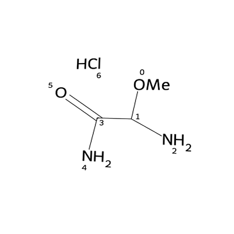 COC(N)C(N)=O.Cl